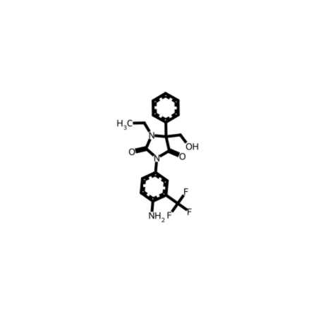 CCN1C(=O)N(c2ccc(N)c(C(F)(F)F)c2)C(=O)C1(CO)c1ccccc1